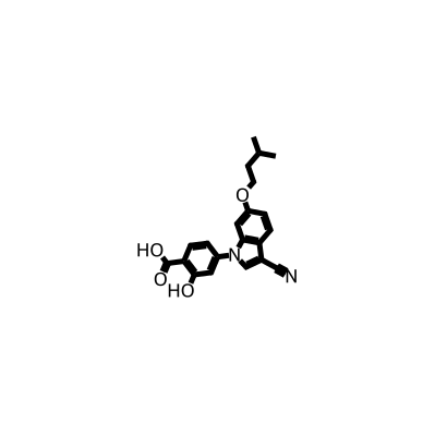 CC(C)CCOc1ccc2c(C#N)cn(-c3ccc(C(=O)O)c(O)c3)c2c1